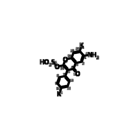 Nc1cc2c(=O)c(-c3cc[c]([K])cc3)c(OS(=O)(=O)O)oc2c[c]1[K]